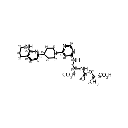 C[C@H](OC(=O)N[C@@H](CNc1cc(N2CCC(c3ccc4c(n3)NCCC4)CC2)ncn1)C(=O)O)C(=O)O